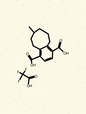 CC1CCCc2c(C(=O)O)ccc(C(=O)O)c2CC1.O=C(O)C(F)(F)F